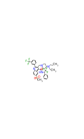 CCCN(CC)C1CCN(Cc2c(-c3cccc(C(F)(F)F)c3)nc3ccc(S(C)(=O)=O)cc3c2C(=O)NC(c2ccccc2)C(F)(F)F)CC1